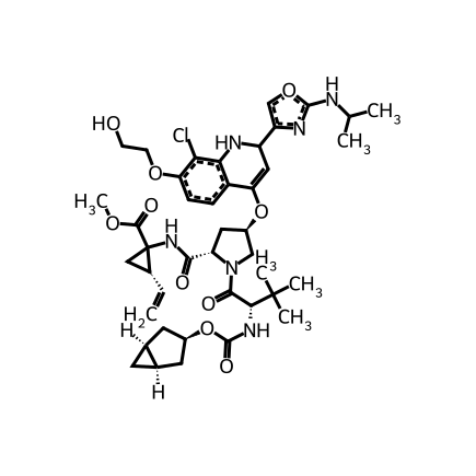 C=C[C@@H]1CC1(NC(=O)[C@@H]1C[C@@H](OC2=CC(c3coc(NC(C)C)n3)Nc3c2ccc(OCCO)c3Cl)CN1C(=O)[C@@H](NC(=O)O[C@@H]1C[C@@H]2C[C@@H]2C1)C(C)(C)C)C(=O)OC